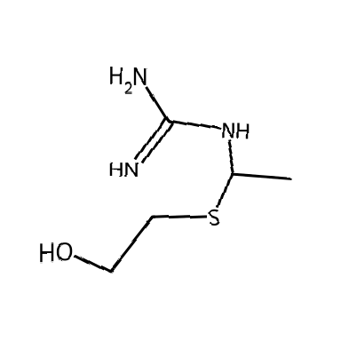 CC(NC(=N)N)SCCO